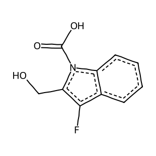 O=C(O)n1c(CO)c(F)c2ccccc21